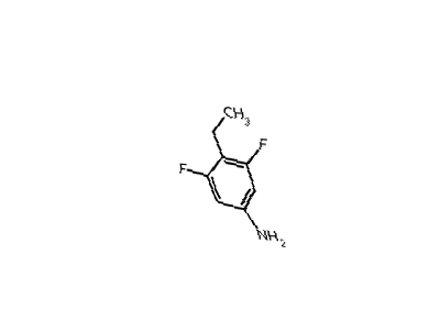 CCc1c(F)cc(N)cc1F